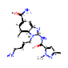 CCn1nc(C)cc1C(=O)Nc1nc2cc(C(N)=O)cc(C)c2n1C/C=C/CN